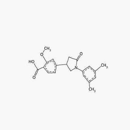 COc1cc(C2CC(=O)N(c3cc(C)cc(C)c3)C2)ccc1C(=O)O